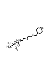 CC(C)(C)OC(=O)NCCOCCOCC1CCNCC1